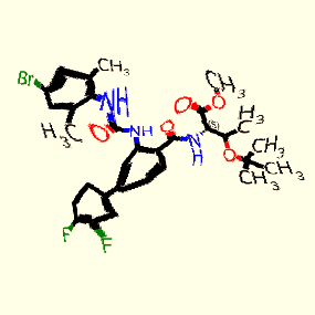 COC(=O)[C@@H](NC(=O)c1ccc(-c2ccc(F)c(F)c2)cc1NC(=O)Nc1c(C)cc(Br)cc1C)C(C)OC(C)(C)C